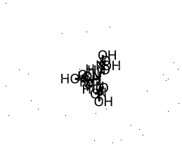 NC(CCCNC(=O)C1=C(O)C(=O)C(CCO)C=N1)(CCCNC(=O)C1=C(O)C(=O)C(CCO)C=N1)CCCNC(=O)C1=C(O)C(=O)C(CCO)C=N1